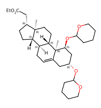 CCOC(=O)C[C@H]1CC[C@H]2[C@@H]3CC=C4C[C@@H](OC5CCCCO5)C[C@H](OC5CCCCO5)[C@]4(C)[C@H]3CC[C@]12C